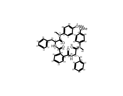 COc1ccc(N(C)C(=O)C(Cc2ccccc2)NC(=O)c2ccccc2C(=O)N[C@@H](Cc2ccccc2)C(=O)N(C)c2ccc(OC)cc2)cc1